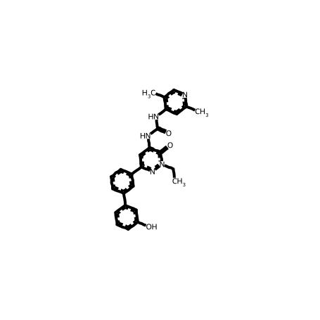 CCn1nc(-c2cccc(-c3cccc(O)c3)c2)cc(NC(=O)Nc2cc(C)ncc2C)c1=O